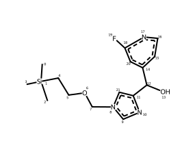 C[Si](C)(C)CCOCn1cnc(C(O)c2ccnc(F)c2)c1